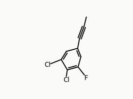 CC#Cc1cc(F)c(Cl)c(Cl)c1